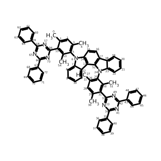 Cc1cc(C)c(-n2c3ccccc3c3c2ccc2c4ccccc4n(-c4c(C)cc(C)c(-c5nc(-c6ccccc6)nc(-c6ccccc6)n5)c4C)c23)c(C)c1-c1nc(-c2ccccc2)nc(-c2ccccc2)n1